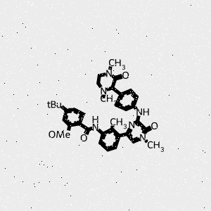 COc1cc(C(C)(C)C)ccc1C(=O)Nc1cccc(-c2cn(C)c(=O)c(Nc3ccc(C4C(=O)N(C)CCN4C)cc3)n2)c1C